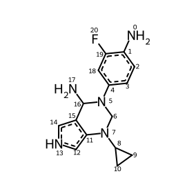 Nc1ccc(N2CN(C3CC3)c3c[nH]cc3C2N)cc1F